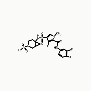 CCS(=O)(=O)N1CCC2(NS(=O)(=O)c3cn(C)c(C(=O)Nc4ccc(F)c(F)c4)c3F)CC2C1